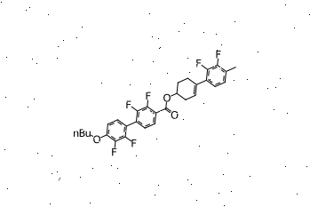 CCCCOc1ccc(-c2ccc(C(=O)OC3CC=C(c4ccc(C)c(F)c4F)CC3)c(F)c2F)c(F)c1F